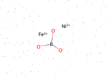 [Fe+2].[Ni+2].[O-]B([O-])[O-]